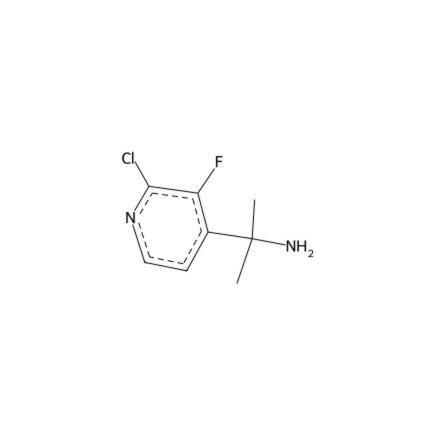 CC(C)(N)c1ccnc(Cl)c1F